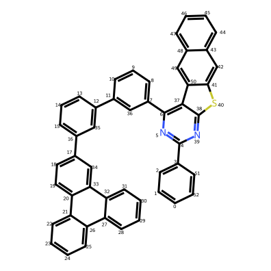 c1ccc(-c2nc(-c3cccc(-c4cccc(-c5ccc6c7ccccc7c7ccccc7c6c5)c4)c3)c3c(n2)sc2cc4ccccc4cc23)cc1